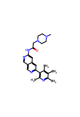 Bc1nc(B)c(-c2cc3cc(NC(=O)CN4CCN(C)CC4)ncc3cn2)c(B)c1B